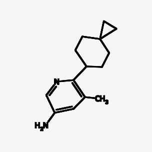 Cc1cc(N)cnc1C1CCC2(CC1)CC2